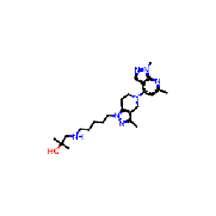 Cc1cc(N2CCc3c(c(C)nn3CCCCCNCC(C)(C)O)C2)c2cnn(C)c2n1